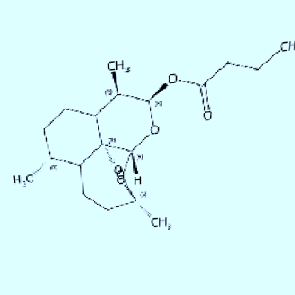 CCCC(=O)O[C@H]1O[C@@H]2O[C@]3(C)CCC4[C@H](C)CCC([C@H]1C)[C@]42OO3